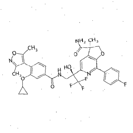 Cc1noc(C)c1-c1ccc(C(=O)NC[C@](O)(c2cc3c(c(-c4ccc(F)cc4)n2)OC[C@]3(C)C(N)=O)C(F)(F)F)cc1OC1CC1